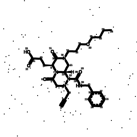 C#CCN1CC(=O)N2[C@@H](CCC(=O)O)C(=O)N(CCCOCCCC)C[C@@H]2N1C(=O)NCc1ccccc1